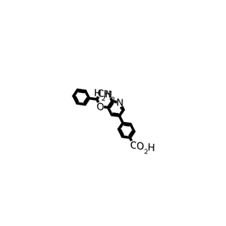 CC(Oc1cc(-c2ccc(C(=O)O)cc2)cnc1N)c1ccccc1